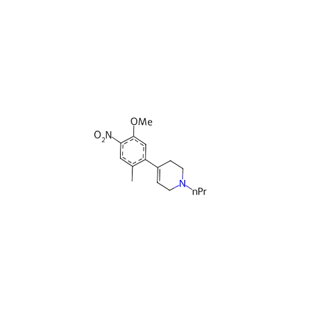 CCCN1CC=C(c2cc(OC)c([N+](=O)[O-])cc2C)CC1